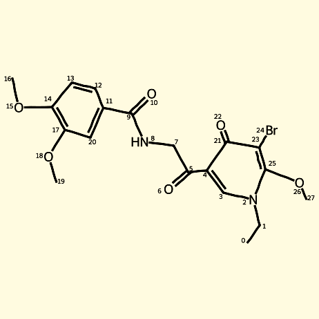 CCn1cc(C(=O)CNC(=O)c2ccc(OC)c(OC)c2)c(=O)c(Br)c1OC